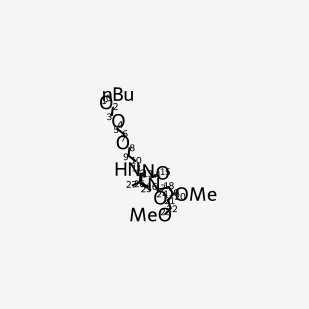 CCCCOCCOCCOCCCNc1nc(=O)n(C2CC(OC)C(COC)O2)cc1C